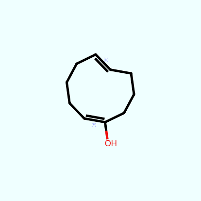 O/C1=C/CCC/C=C/CCC1